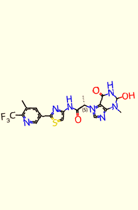 Cc1cc(-c2nc(NC(=O)[C@H](C)n3cnc4c3C(=O)NC(O)N4C)cs2)cnc1C(F)(F)F